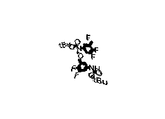 CC(C)(C)OC(=O)Nc1cc(F)c(F)c(COCN(C(=O)OC(C)(C)C)c2cc(F)c(F)c(CF)c2)c1